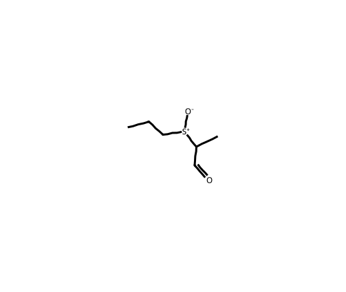 CCC[S+]([O-])C(C)C=O